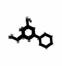 Nc1cc(N2CCCCC2)nc(=NO)[nH]1